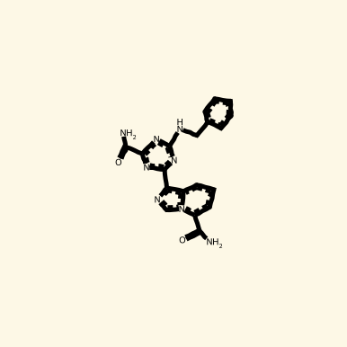 NC(=O)c1nc(NCc2ccccc2)nc(-c2ncn3c(C(N)=O)cccc23)n1